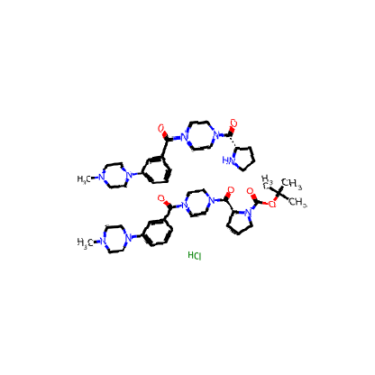 CN1CCN(c2cccc(C(=O)N3CCN(C(=O)[C@@H]4CCCN4)CC3)c2)CC1.CN1CCN(c2cccc(C(=O)N3CCN(C(=O)[C@@H]4CCCN4C(=O)OC(C)(C)C)CC3)c2)CC1.Cl